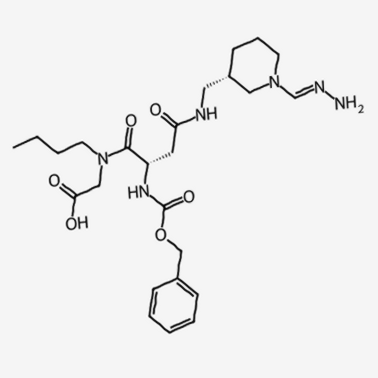 CCCCN(CC(=O)O)C(=O)[C@H](CC(=O)NC[C@@H]1CCCN(C=NN)C1)NC(=O)OCc1ccccc1